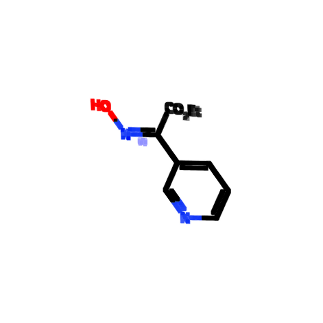 CCOC(=O)/C(=N\O)c1cccnc1